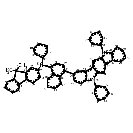 CC1(C)c2ccccc2-c2ccc(N(c3ccccc3)c3ccc(-c4ccc5c(c4)c4cc6c(cc4n5-c4ccccc4)c4ccccc4n6-c4ccccc4)c4ccccc34)cc21